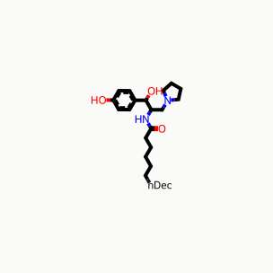 CCCCCCCCCCCCCCCC(=O)NC(CN1CCCC1)C(O)c1ccc(O)cc1